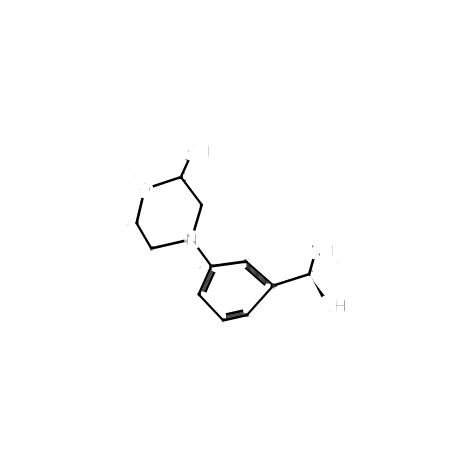 CC1CN(c2cccc([C@H](C)N)c2)CCO1